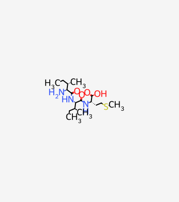 CC[C@H](C)[C@H](N)C(=O)N[C@H](C(=O)N[C@@H](CCSC)C(=O)O)[C@@H](C)CC